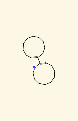 C1=C(C2=NCCCCCCCCN2)CCCCCCCCC1